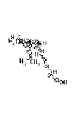 CCN(CC)c1ccc(C(=C2C=CC(=[N+](CC)CC)C=C2)c2cc(OCC(=O)NCCOCCOCCNC(=O)/C=C/c3ccc(O)cc3)c(S(=O)(=O)O)cc2S(=O)(=O)O)cc1